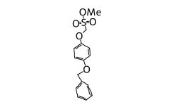 COS(=O)(=O)COc1ccc(OCc2ccccc2)cc1